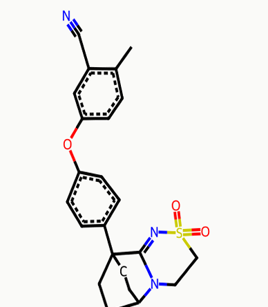 Cc1ccc(Oc2ccc(C34CCC(CC3)N3CCS(=O)(=O)N=C34)cc2)cc1C#N